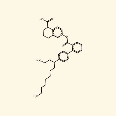 CCCCCCCCC(CCC)c1ccc(-c2ccccc2C(=O)Oc2ccc3c(c2)CCCC3C(=O)O)cc1